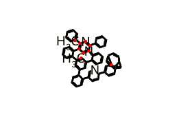 Cc1cc(-c2ccccc2)ncc1-c1ccccc1-c1cc(-c2ccccc2-c2ccc(-c3ccc4c(c3)C3C=CC5C(C=C3)C45)nc2)cc(-c2ccccc2-c2cnc(-c3ccccc3)cc2C)c1